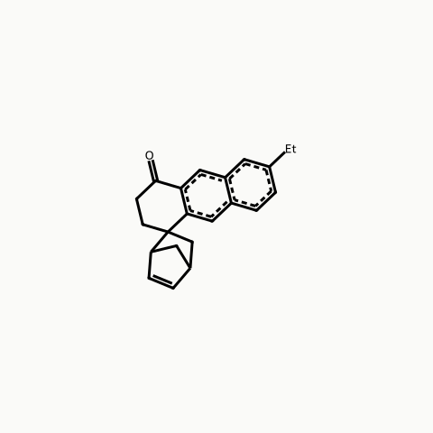 CCc1ccc2cc3c(cc2c1)C(=O)CCC31CC2C=CC1C2